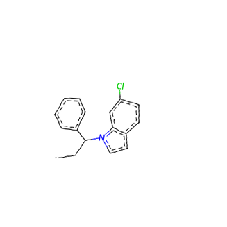 [CH2]CC(c1ccccc1)n1ccc2ccc(Cl)cc21